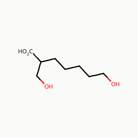 O=C(O)C(CO)CCCCCO